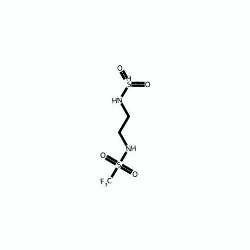 O=[SH](=O)NCCNS(=O)(=O)C(F)(F)F